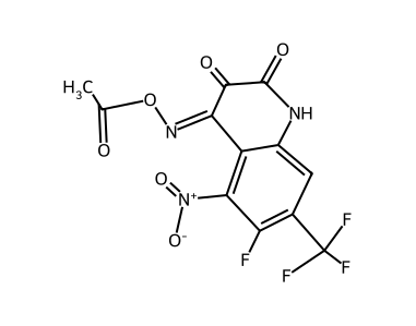 CC(=O)ON=C1C(=O)C(=O)Nc2cc(C(F)(F)F)c(F)c([N+](=O)[O-])c21